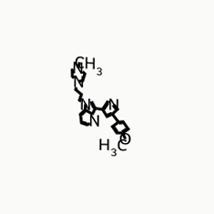 COc1ccc(-c2cncc(-c3cn(CCCN4CCN(C)CC4)c4cccnc34)c2)cc1